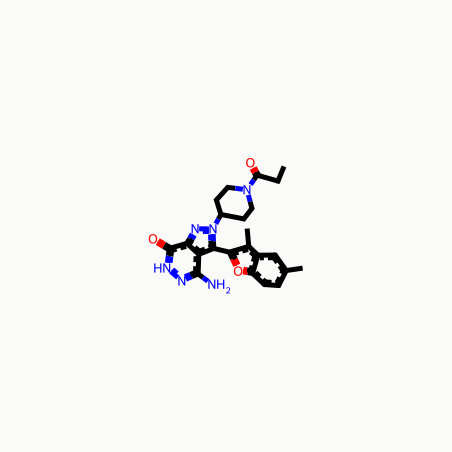 CCC(=O)N1CCC(n2nc3c(=O)[nH]nc(N)c3c2-c2oc3ccc(C)cc3c2C)CC1